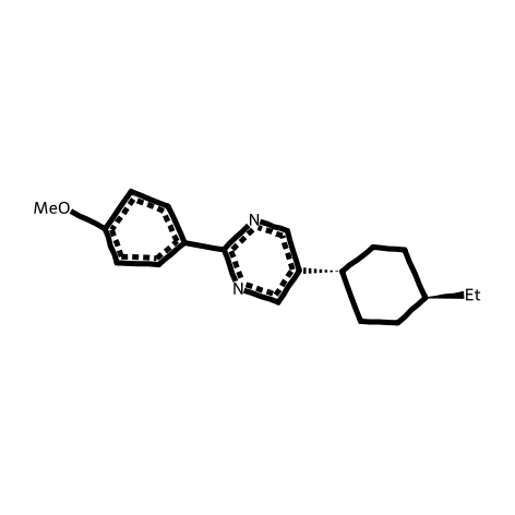 CC[C@H]1CC[C@H](c2cnc(-c3ccc(OC)cc3)nc2)CC1